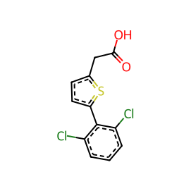 O=C(O)Cc1ccc(-c2c(Cl)cccc2Cl)s1